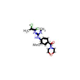 C=N/C(=N\C(Cl)=C(/C)Cl)Nc1ccc(C(=O)N2CCOCC2)cc1OC